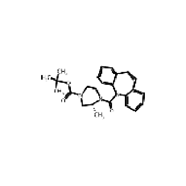 C[C@@H]1CN(C(=O)OC(C)(C)C)CCN1C(=O)N1c2ccccc2C=Cc2ccccc21